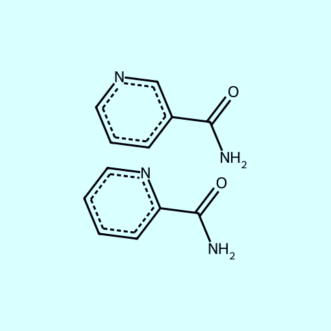 NC(=O)c1ccccn1.NC(=O)c1cccnc1